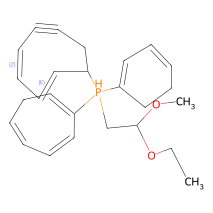 CCOC(C[PH](C1=CCC=CC=C1)(C1=CC=CCC1)C1/C=C/C=C\C#CC1)OC